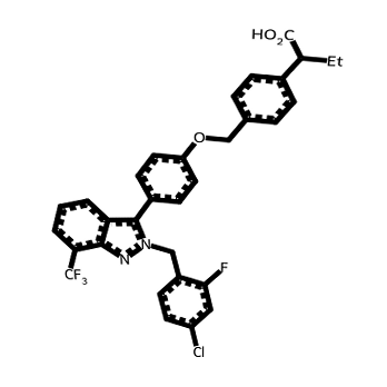 CCC(C(=O)O)c1ccc(COc2ccc(-c3c4cccc(C(F)(F)F)c4nn3Cc3ccc(Cl)cc3F)cc2)cc1